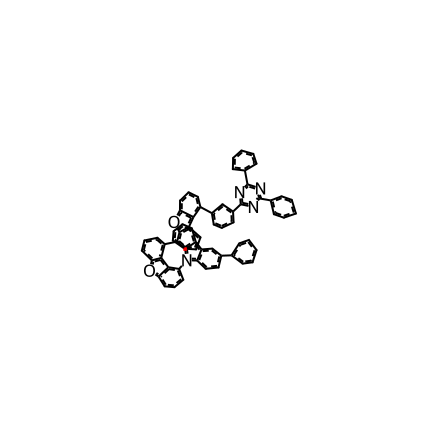 c1ccc(-c2ccc3c(c2)c2ccccc2n3-c2cccc3oc4cccc(-c5cccc6c5oc5cccc(-c7cccc(-c8nc(-c9ccccc9)nc(-c9ccccc9)n8)c7)c56)c4c23)cc1